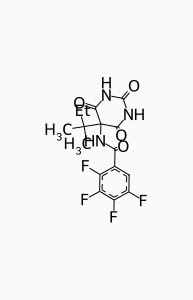 CCC(C)(C)C1(NC(=O)c2cc(F)c(F)c(F)c2F)C(=O)NC(=O)NC1=O